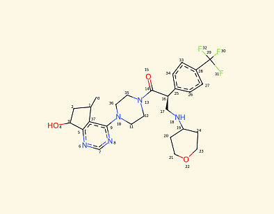 CC1CC(O)c2ncnc(N3CCN(C(=O)[C@H](CNC4CCOCC4)c4ccc(C(F)(F)F)cc4)CC3)c21